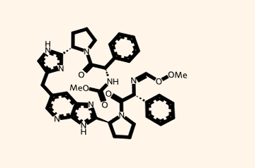 COO/C=N\[C@@H](C(=O)N1CCC[C@H]1c1nc2cc(Cc3c[nH]c([C@@H]4CCCN4C(=O)[C@@H](NC(=O)OC)c4ccccc4)n3)cnc2[nH]1)c1ccccc1